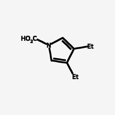 CCc1cn(C(=O)O)cc1CC